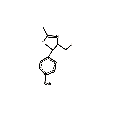 CSc1ccc(C2OC(C)=NC2CF)cc1